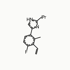 C=Cc1c(F)ccc(-c2c[nH]c(C(C)C)n2)c1C